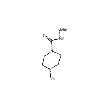 CONC(=O)N1CCN(C(C)C)CC1